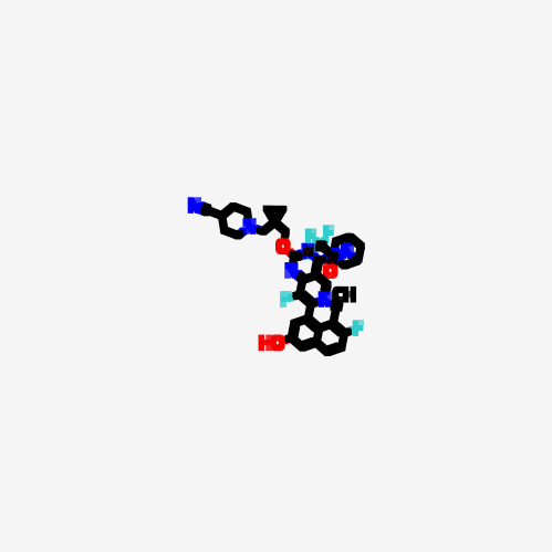 C#Cc1c(F)ccc2cc(O)cc(-c3ncc4c(N5CC6CC(C5)N6C(=O)C(F)(F)F)nc(OCC5(CN6CCC(C#N)CC6)CC5)nc4c3F)c12